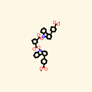 COC(=O)c1ccc(-c2cccc3c2c2ccccc2n3OC(=O)c2cccc(C(=O)On3c4ccccc4c4c(-c5ccc(C(=O)OC)cc5)cccc43)c2)cc1